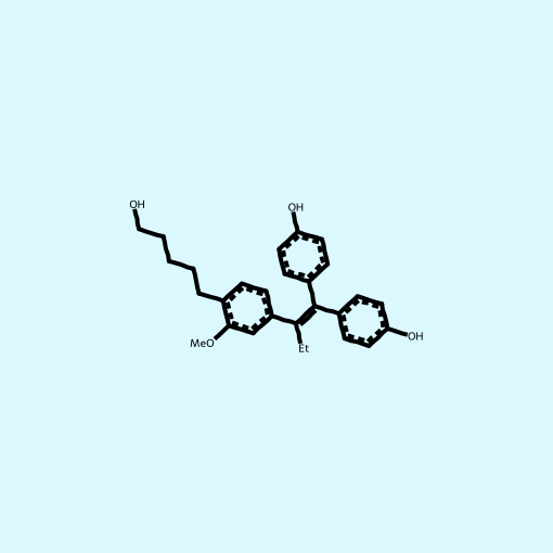 CCC(=C(c1ccc(O)cc1)c1ccc(O)cc1)c1ccc(CCCCCO)c(OC)c1